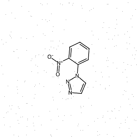 O=[N+]([O-])c1ccccc1-n1ccnn1